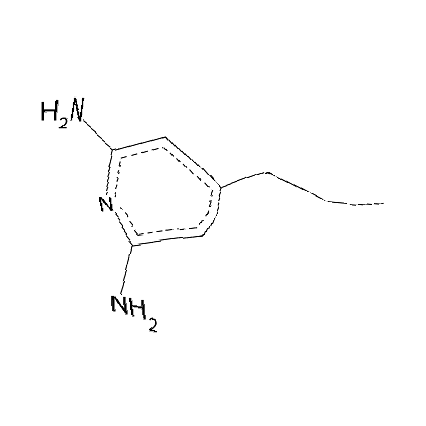 CCCc1cc(N)nc(N)c1